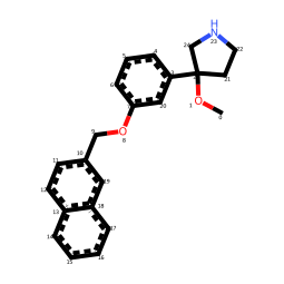 COC1(c2cccc(OCc3ccc4ccccc4c3)c2)CCNC1